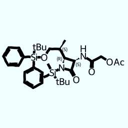 CC(=O)OCC(=O)N[C@@H]1C(=O)N([Si](C)(C)C(C)(C)C)[C@@H]1[C@H](C)CO[Si](c1ccccc1)(c1ccccc1)C(C)(C)C